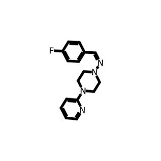 Fc1ccc(/C=N\N2CCN(c3ccccn3)CC2)cc1